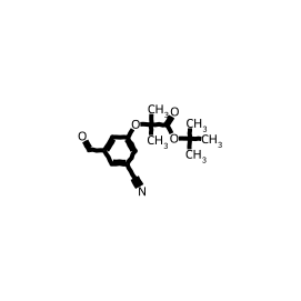 CC(C)(C)OC(=O)C(C)(C)Oc1cc(C#N)cc(C=O)c1